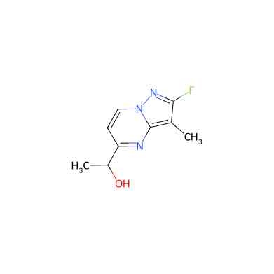 Cc1c(F)nn2ccc(C(C)O)nc12